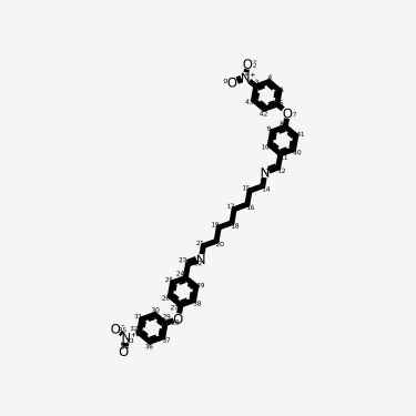 O=[N+]([O-])c1ccc(Oc2ccc(C=NCCCCCCCCN=Cc3ccc(Oc4ccc([N+](=O)[O-])cc4)cc3)cc2)cc1